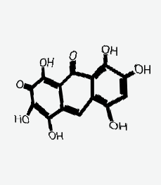 O=C1C(O)=C(O)C2=Cc3c(O)cc(O)c(O)c3C(=O)C2=C1O